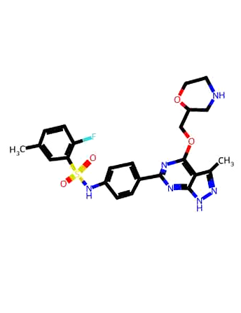 Cc1ccc(F)c(S(=O)(=O)Nc2ccc(-c3nc(OCC4CNCCO4)c4c(C)n[nH]c4n3)cc2)c1